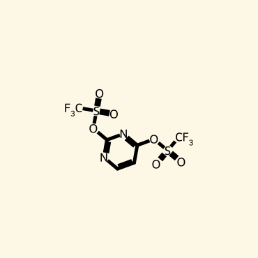 O=S(=O)(Oc1ccnc(OS(=O)(=O)C(F)(F)F)n1)C(F)(F)F